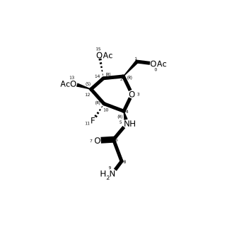 CC(=O)OC[C@H]1O[C@@H](NC(=O)CN)[C@H](F)[C@@H](OC(C)=O)[C@@H]1OC(C)=O